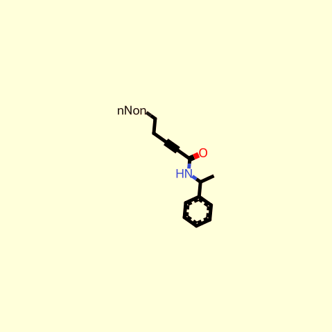 CCCCCCCCCCCC#CC(=O)NC(C)c1ccccc1